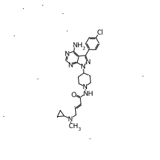 CN(C/C=C/C(=O)NN1CCC(n2nc(-c3ccc(Cl)cc3)c3c(N)ncnc32)CC1)C1CC1